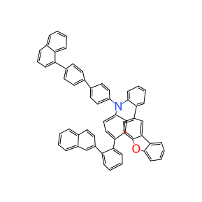 c1ccc(-c2ccc3ccccc3c2)c(-c2ccc(N(c3ccc(-c4ccc(-c5cccc6ccccc56)cc4)cc3)c3ccccc3-c3ccc4oc5ccccc5c4c3)cc2)c1